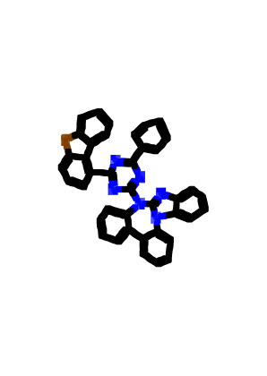 c1ccc(-c2nc(-c3cccc4sc5ccccc5c34)nc(N3c4ccccc4-c4ccccc4-n4c3nc3ccccc34)n2)cc1